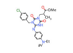 CCN(c1ccc(/N=c2\[nH]c(=O)n(C[C@H](C)C(=O)OC)c(=O)n2Cc2ccc(Cl)cc2)cc1)C(C)C